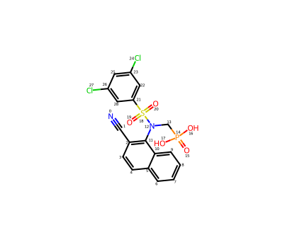 N#Cc1ccc2ccccc2c1N(CP(=O)(O)O)S(=O)(=O)c1cc(Cl)cc(Cl)c1